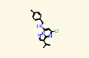 Cc1ccc(CNc2cc(Cl)nc3c(C(C)C)cnn23)cc1